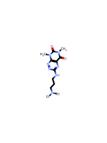 CCN(CC)CCCNc1nnc2c(n1)c(=O)n(C)c(=O)n2C